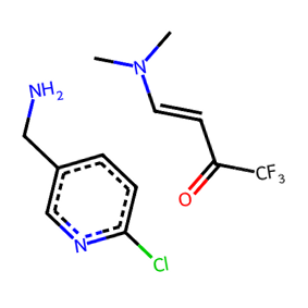 CN(C)C=CC(=O)C(F)(F)F.NCc1ccc(Cl)nc1